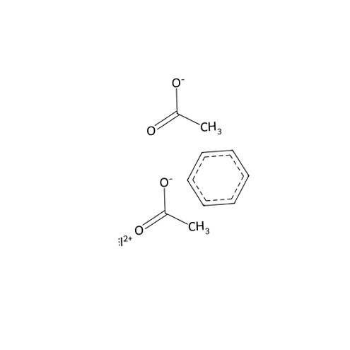 CC(=O)[O-].CC(=O)[O-].[I+2].c1ccccc1